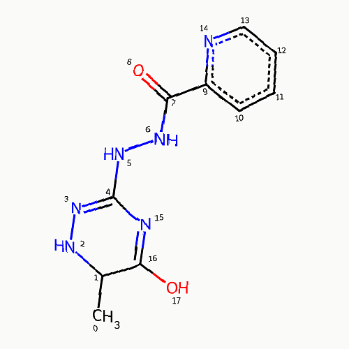 CC1NN=C(NNC(=O)c2ccccn2)N=C1O